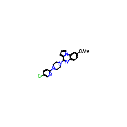 COc1ccc2nc(N3CCN(c4ccc(Cl)cn4)CC3)c3cccn3c2c1